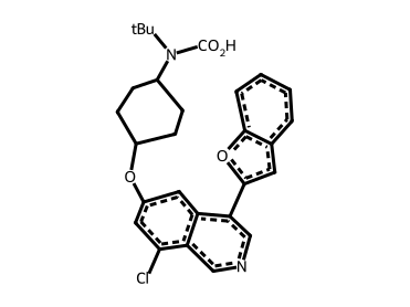 CC(C)(C)N(C(=O)O)C1CCC(Oc2cc(Cl)c3cncc(-c4cc5ccccc5o4)c3c2)CC1